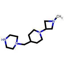 CN1CC(N2CCC(CN3CCNCC3)CC2)C1